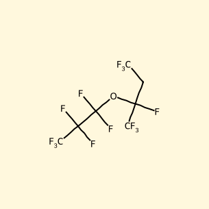 FC(F)(F)CC(F)(OC(F)(F)C(F)(F)C(F)(F)F)C(F)(F)F